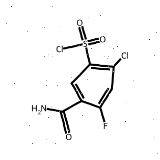 NC(=O)c1cc(S(=O)(=O)Cl)c(Cl)cc1F